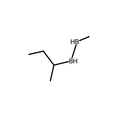 CBBC(C)CC